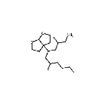 CCCCC(C)CC(CC(C)CN)C12CCOC1OCC2